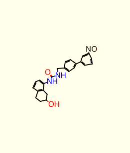 O=Nc1cccc(-c2ccc(CNC(=O)Nc3cccc4c3CC(O)CC4)cc2)c1